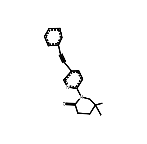 CC1(C)CCC(=O)N(c2ccc(C#Cc3ccccc3)cn2)C1